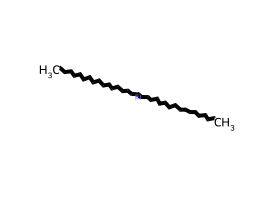 CCCCCCCCCCCCCCCC/C=C/CCCCCCCCCCCCCCCCC